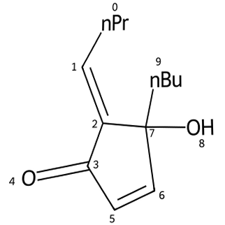 CCCC=C1C(=O)C=CC1(O)CCCC